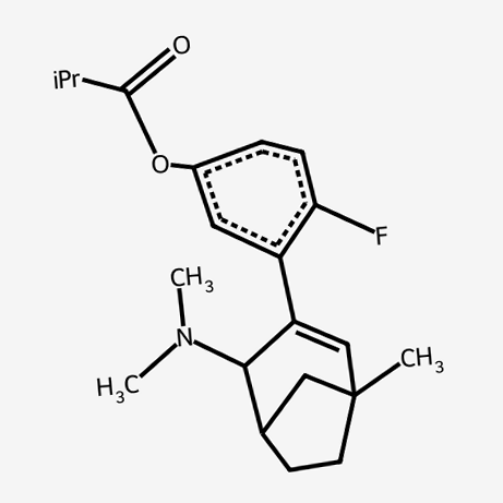 CC(C)C(=O)Oc1ccc(F)c(C2=CC3(C)CCC(C3)C2N(C)C)c1